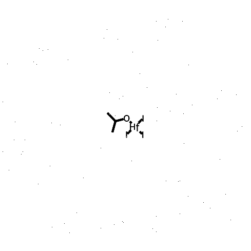 CC(C)[O][Hf]([I])([I])[I]